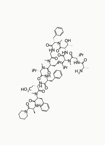 CC(C)C[C@@H](C(=O)N(C)[C@H](C(=O)N[C@@H](Cc1ccccc1)C(=O)N[C@@H](CC(=O)O)C(=O)N(C)[C@@H](Cc1ccccc1)C(=O)N[C@@H](C)C(=O)N1CCCCC1)C(C)C)N(C)C(=O)CNC(=O)[C@H](Cc1ccccc1)N(C)C(=O)[C@@H](NC(=O)[C@H](CC(C)C)N(C)C(=O)[C@@H](NC(=O)[C@H](C)N)C(C)C)[C@@H](C)O